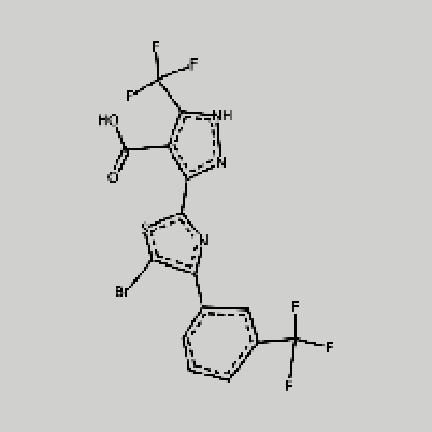 O=C(O)c1c(-c2nc(-c3cccc(C(F)(F)F)c3)c(Br)s2)n[nH]c1C(F)(F)F